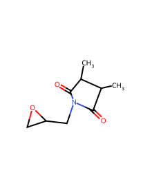 CC1C(=O)N(CC2CO2)C(=O)C1C